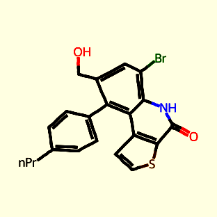 CCCc1ccc(-c2c(CO)cc(Br)c3[nH]c(=O)c4sccc4c23)cc1